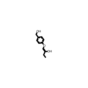 CCC(O)=COc1ccc(CO)cc1